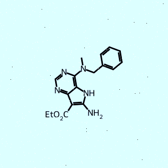 CCOC(=O)c1c(N)[nH]c2c(N(C)Cc3ccccc3)ncnc12